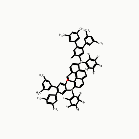 [2H]c1c([2H])c([2H])c(N(c2cc(-c3cc(C)cc(C)c3)c(-c3cc(C)cc(C)c3)cc2F)c2ccc3ccc4c(N(c5cc(-c6cc(C)cc(C)c6)c(-c6cc(C)cc(C)c6)cc5F)c5c([2H])c([2H])c([2H])c([2H])c5[2H])ccc5ccc2c3c54)c([2H])c1[2H]